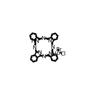 [Cl][Zn]([Br])[c]1cccc2c3nc4nc(nc5[nH]c(nc6nc(nc([nH]3)c12)-c1ccccc1-6)c1ccccc51)-c1ccccc1-4